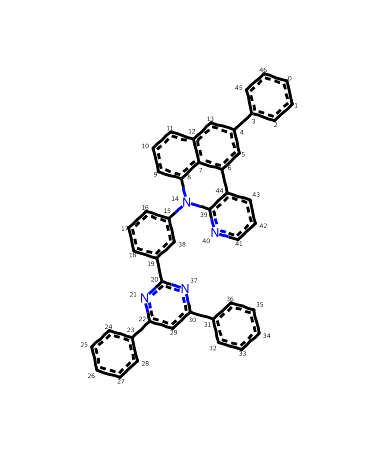 c1ccc(-c2cc3c4c(cccc4c2)N(c2cccc(-c4nc(-c5ccccc5)cc(-c5ccccc5)n4)c2)c2ncccc2-3)cc1